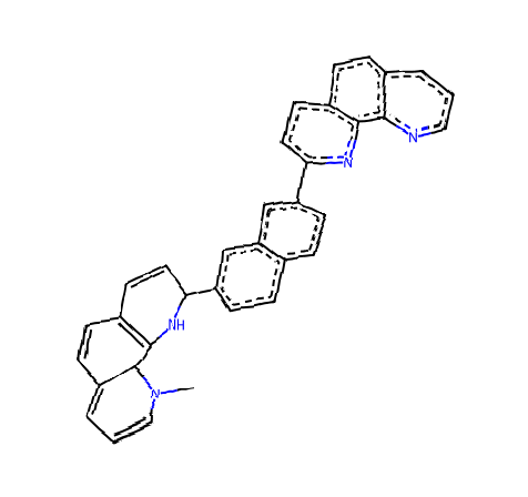 CN1C=CC=C2C=CC3=C(NC(c4ccc5ccc(-c6ccc7ccc8cccnc8c7n6)cc5c4)C=C3)C21